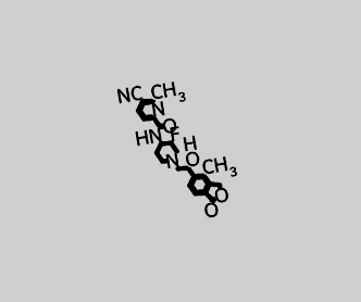 Cc1nc(C(=O)N[C@H]2CCN(CC(O)c3ccc4c(c3C)COC4=O)C[C@H]2F)ccc1C#N